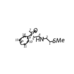 CSCCNCCP(C)(=O)c1ccccc1